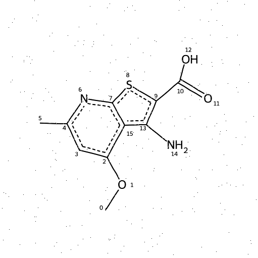 COc1cc(C)nc2sc(C(=O)O)c(N)c12